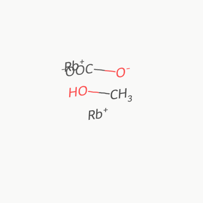 CO.O=C([O-])[O-].[Rb+].[Rb+]